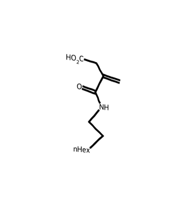 C=C(CC(=O)O)C(=O)NCCCCCCCC